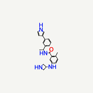 Cc1ccc(NC2CNC2)cc1C(=O)NC(C)c1cccc(-c2cc[nH]c2)c1